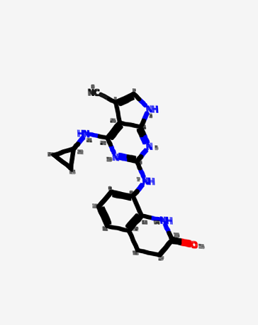 N#Cc1c[nH]c2nc(Nc3cccc4c3NC(=O)CC4)nc(NC3CC3)c12